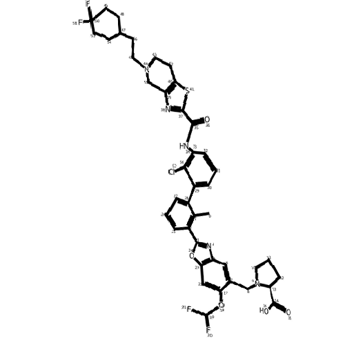 Cc1c(-c2nc3cc(CN4CCC[C@H]4C(=O)O)c(OC(F)F)cc3o2)cccc1-c1cccc(NC(=O)c2nc3c(s2)CCN(CCC2CCC(F)(F)CC2)C3)c1Cl